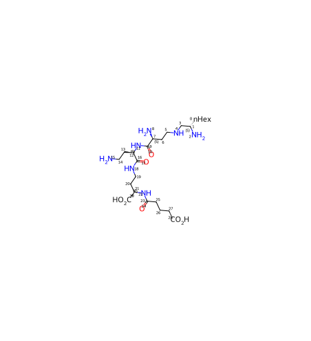 CCCCCC[C@H](N)CNCC[C@H](N)C(=O)N[C@H](CCN)C(=O)NCC[C@@H](NC(=O)CCCC(=O)O)C(=O)O